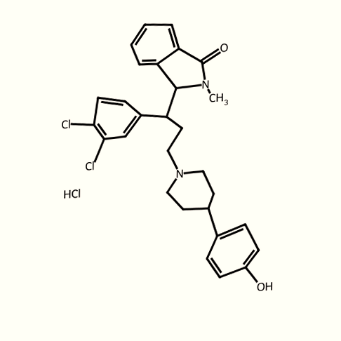 CN1C(=O)c2ccccc2C1C(CCN1CCC(c2ccc(O)cc2)CC1)c1ccc(Cl)c(Cl)c1.Cl